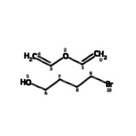 C=COC=C.OCCCCBr